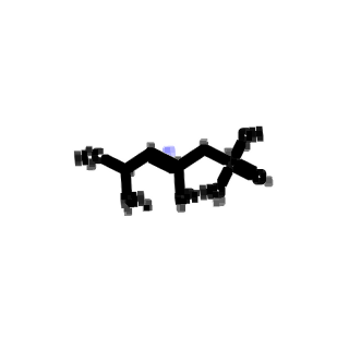 CCC/C(=C\C(C)N)CP(=O)(O)O